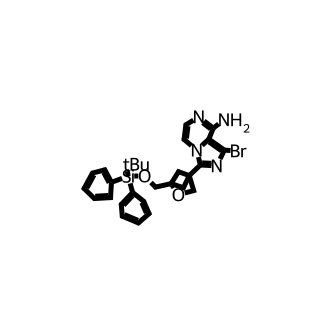 CC(C)(C)[Si](OCC12CC(c3nc(Br)c4c(N)nccn34)(CO1)C2)(c1ccccc1)c1ccccc1